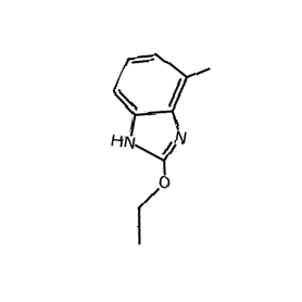 CCOc1nc2c(C)cccc2[nH]1